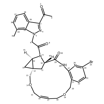 CC(=O)c1nn(CC(=O)N2[C@H]3C[C@@]4(COCC=CCOCc5ccc(Br)nc5NC3=O)C[C@@H]24)c2c(C)cccc12